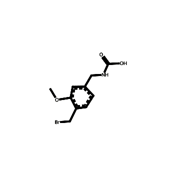 COc1cc(CNC(=O)O)ccc1CBr